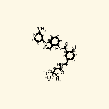 Cc1cc(-n2ncc3c(NC(=O)c4cc(CNC(=O)CC(C)(C)C)ccc4Cl)cccc32)ccn1